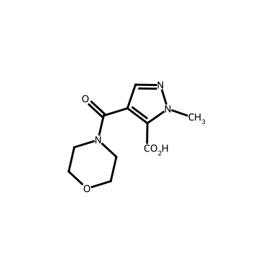 Cn1ncc(C(=O)N2CCOCC2)c1C(=O)O